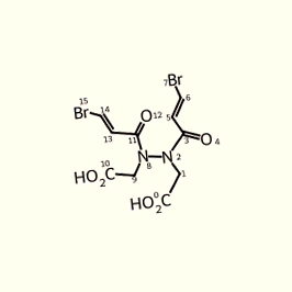 O=C(O)CN(C(=O)/C=C/Br)N(CC(=O)O)C(=O)/C=C/Br